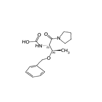 C[C@@H](OCc1ccccc1)[C@H](NC(=O)O)C(=O)N1CCCC1